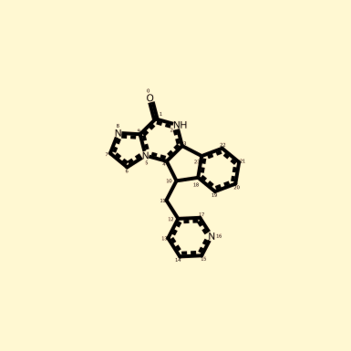 O=c1[nH]c2c(n3ccnc13)C(Cc1cccnc1)c1ccccc1-2